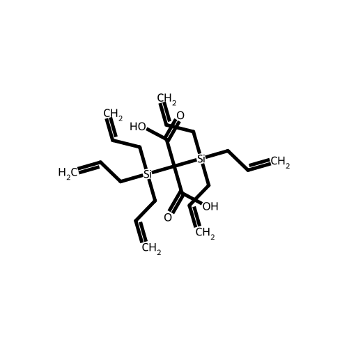 C=CC[Si](CC=C)(CC=C)C(C(=O)O)(C(=O)O)[Si](CC=C)(CC=C)CC=C